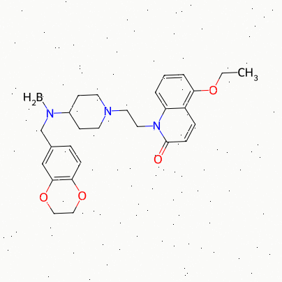 BN(Cc1ccc2c(c1)OCCO2)C1CCN(CCn2c(=O)ccc3c(OCC)cccc32)CC1